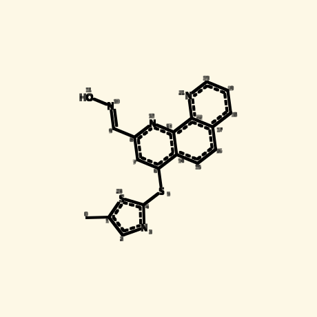 Cc1cnc(Sc2cc(C=NO)nc3c2ccc2cccnc23)s1